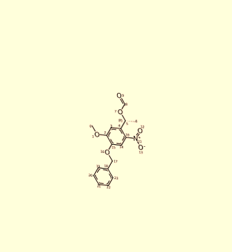 COc1cc([C@@H](C)O[C]=O)c([N+](=O)[O-])cc1OCc1ccccc1